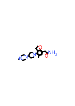 Cc1cc(CC(N)=O)c2c(c1N1CCC(N3CCN(C)CC3)CC1)CCO2